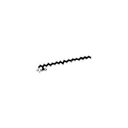 CC/C=C/C=C/CCC/C=C/CCCCCCCCCCCCCC(CC)C(N)=O